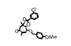 COc1ccc(COC2C=C(C)C(=O)CC(C)(C)C2OC(=O)c2cccc(Cl)c2)cc1